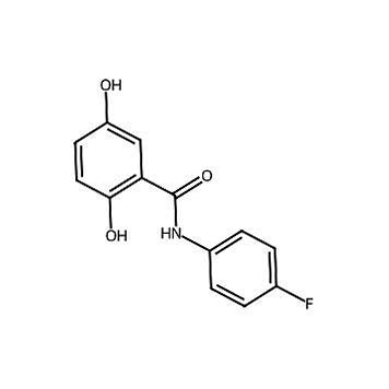 O=C(Nc1ccc(F)cc1)c1cc(O)ccc1O